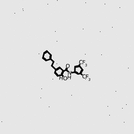 O=C(Nc1cc(C(F)(F)F)cc(C(F)(F)F)c1)c1cc(CCc2ccccc2)ccc1O